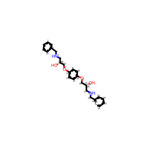 O[C@H](CNCc1ccccc1)COc1ccc(OC[C@H](O)CNCc2ccccc2)cc1